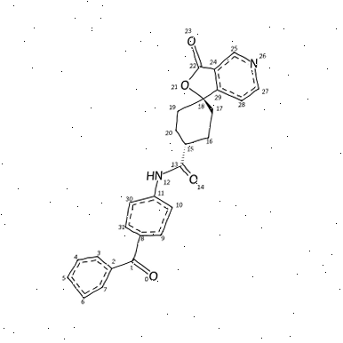 O=C(c1ccccc1)c1ccc(NC(=O)[C@H]2CC[C@@]3(CC2)OC(=O)c2cnccc23)cc1